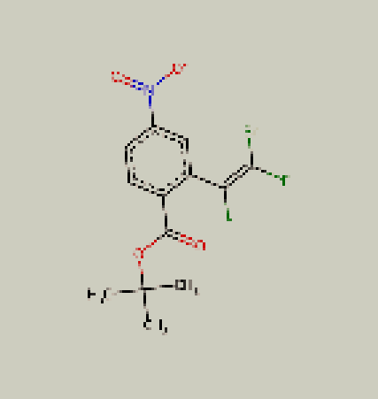 CC(C)(C)OC(=O)c1ccc([N+](=O)[O-])cc1/C(F)=C(/F)Br